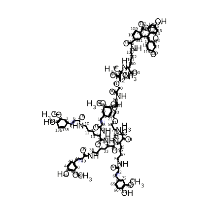 COc1cc(/C=C/C(=O)NCCCCC(NC(=O)/C=C/c2ccc(O)c(OC)c2)C(=O)NC(CCCCNC(=O)/C=C/c2ccc(O)c(OC)c2)C(=O)NC(CCCCNC(=O)/C=C/c2ccc(O)c(OC)c2)C(=O)C(C)(C)NCCOCCOCCNC(=O)COCC(=O)C(C)(C)NC(CCCCNC(=O)c2ccc(C(=O)O)c(-c3c4ccc(=O)cc-4oc4cc(O)ccc34)c2)C(N)=O)ccc1O